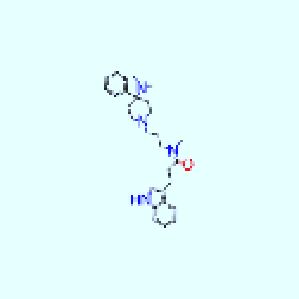 CN(CCCN1CCC(c2ccccc2)(N(C)C)CC1)C(=O)CCc1c[nH]c2ccccc12